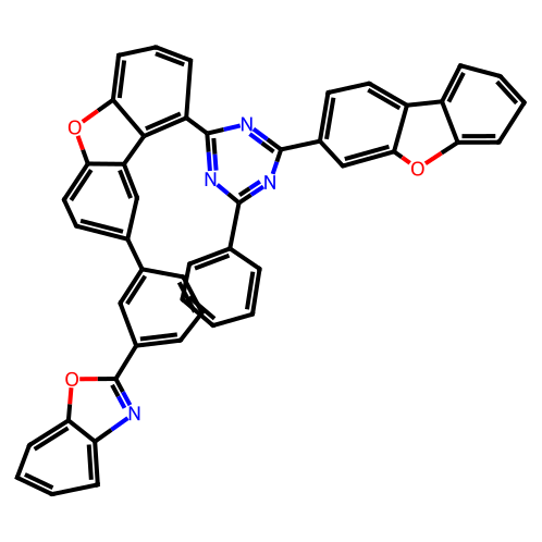 c1ccc(-c2nc(-c3ccc4c(c3)oc3ccccc34)nc(-c3cccc4oc5ccc(-c6cccc(-c7nc8ccccc8o7)c6)cc5c34)n2)cc1